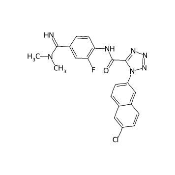 CN(C)C(=N)c1ccc(NC(=O)c2nnnn2-c2ccc3cc(Cl)ccc3c2)c(F)c1